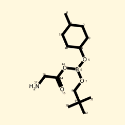 CC1CCC(OB(OCC(C)(C)C)OC(=O)CN)CC1